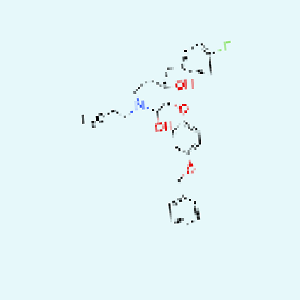 CCCN1CCC(O)(Cc2ccc(F)cc2)C(Oc2ccc(OCc3ccccc3)cc2)C1O